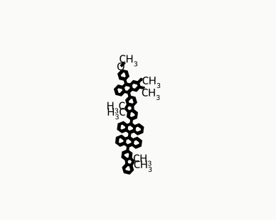 CCOc1ccc(-c2c3ccccc3c(-c3ccc4c(c3)C(C)(C)c3cc(-c5c6ccccc6c(-c6c7ccccc7c(-c7ccc8c(c7)C(C)(C)c7ccccc7-8)c7ccccc67)c6ccccc56)ccc3-4)c3cc(CC)c(CC)cc23)cc1